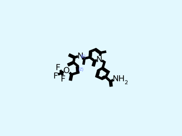 C=C(/C=C\C(=C)C(=C)/N=C(\C)C1=CC=C(C)N(Cc2cccc(C(=C)N)c2)C1=C)OC(F)(F)F